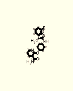 Cn1c(N[C@H]2CC[C@H](Oc3ncccc3C(N)=O)CC2)nc2c(F)cccc21